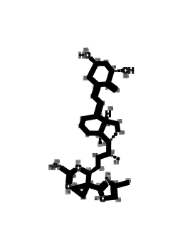 C=C1/C(=C\C=C2/CCC[C@]3(C)[C@@H]([C@H](C)CC[C@H](OC(=O)CCC)C4(c5nc(C)co5)CC4)CC[C@@H]23)C[C@@H](O)C[C@@H]1O